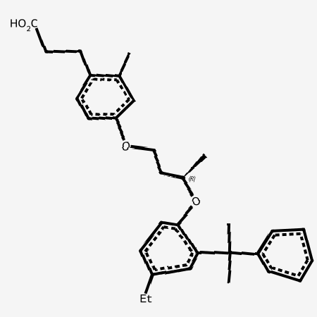 CCc1ccc(O[C@H](C)CCOc2ccc(CCC(=O)O)c(C)c2)c(C(C)(C)c2ccccc2)c1